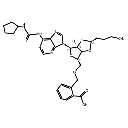 CCCC[C@H]1OC2[C@@H](COCc3ccccc3C(=O)O)O[C@@H](n3cnc4c(NC(=O)NC5CCCC5)ncnc43)[C@H]2O1